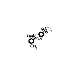 Cc1ccc2[nH]nc(Nc3ccc(S(N)(=O)=O)cc3)c2c1